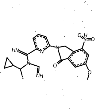 COc1cc2c(c([SH](=O)=O)c1)CN(c1cccc(C(=N)N(C=N)C(C)C3CC3)n1)C2=O